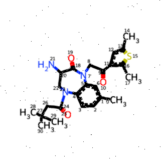 Cc1ccc2c(c1)N(CC(=O)c1cc(C)sc1C)C(=O)C(N)CN2C(=O)CC(C)(C)C